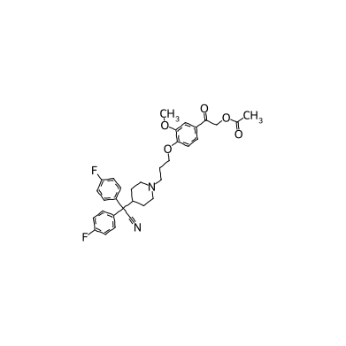 COc1cc(C(=O)COC(C)=O)ccc1OCCCN1CCC(C(C#N)(c2ccc(F)cc2)c2ccc(F)cc2)CC1